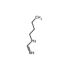 B=CPCCCC